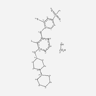 Cc1c(Oc2ccc(S(C)(=O)=O)cc2F)ncnc1OC1CCN(C2CCCCC2)CC1.O=C(O)O